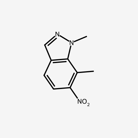 Cc1c([N+](=O)[O-])ccc2cnn(C)c12